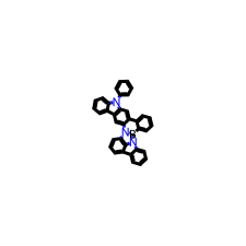 c1ccc(-n2c3ccccc3c3cc4c(cc32)-c2ccccc2B2N4c3cccc4c5ccccc5n2c34)cc1